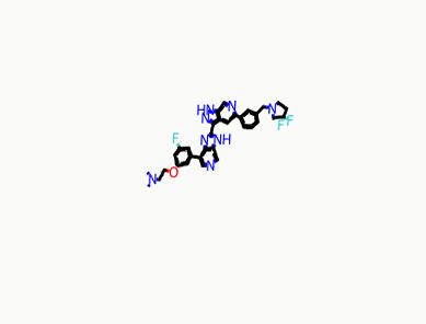 CN(C)CCOc1cc(F)cc(-c2cncc3[nH]c(-c4n[nH]c5cnc(-c6cccc(CN7CCC(F)(F)C7)c6)cc45)nc23)c1